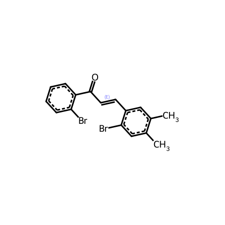 Cc1cc(Br)c(/C=C/C(=O)c2ccccc2Br)cc1C